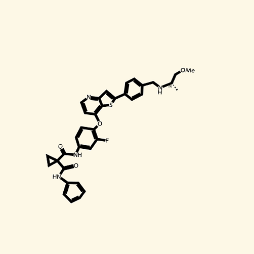 COC[C@H](C)NCc1ccc(-c2cc3nccc(Oc4ccc(NC(=O)C5(C(=O)Nc6ccccc6)CC5)cc4F)c3s2)cc1